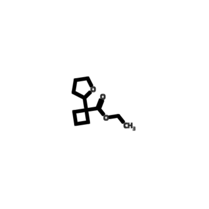 CCOC(=O)C1(C2CCCO2)CCC1